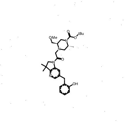 COC[C@H]1CN(C(=O)OC(C)(C)C)[C@H](C)CN1CC(=O)N1CC(C)(C)c2ncc(Cc3ccccc3O)cc21